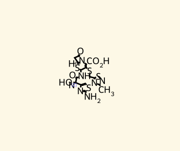 Cc1nsc(CSC2=C(C(=O)O)N3C(=O)C[C@@H]3SC2NC(=O)/C(=N\O)c2csc(N)n2)n1